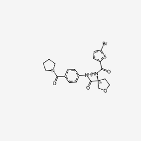 O=C(N[C@@]1(C(=O)Nc2ccc(C(=O)N3CCCC3)cc2)CCOC1)c1ccc(Br)s1